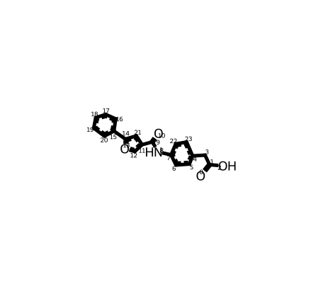 O=C(O)Cc1ccc(NC(=O)c2coc(-c3ccccc3)c2)cc1